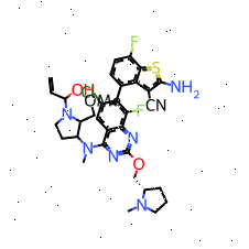 C=CC(O)N1CCC(N(C)c2nc(OC[C@@H]3CCCN3C)nc3c(F)c(-c4ccc(F)c5sc(N)c(C#N)c45)c(Cl)cc23)C1COC